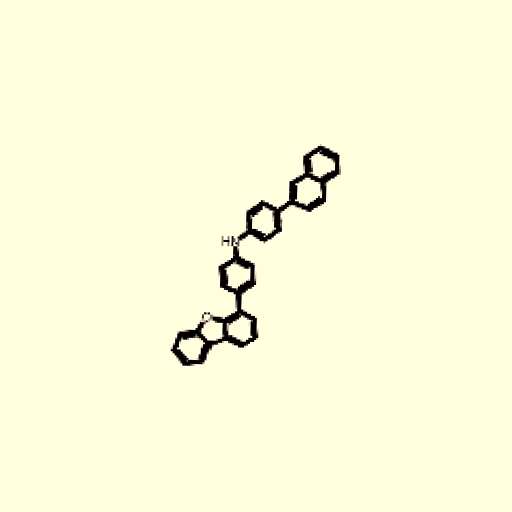 c1ccc2cc(-c3ccc(Nc4ccc(-c5cccc6c5oc5ccccc56)cc4)cc3)ccc2c1